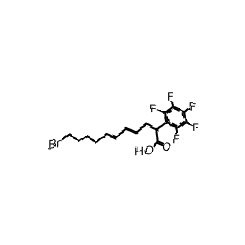 O=C(O)C(CCCCCCCCCBr)c1c(F)c(F)c(F)c(F)c1F